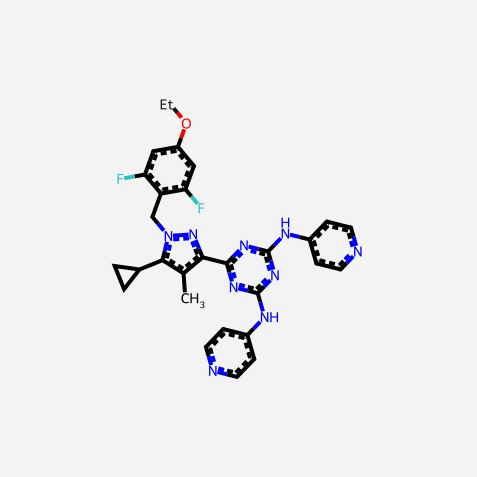 CCOc1cc(F)c(Cn2nc(-c3nc(Nc4ccncc4)nc(Nc4ccncc4)n3)c(C)c2C2CC2)c(F)c1